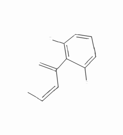 C=C(/C=C\C)c1c(F)cccc1F